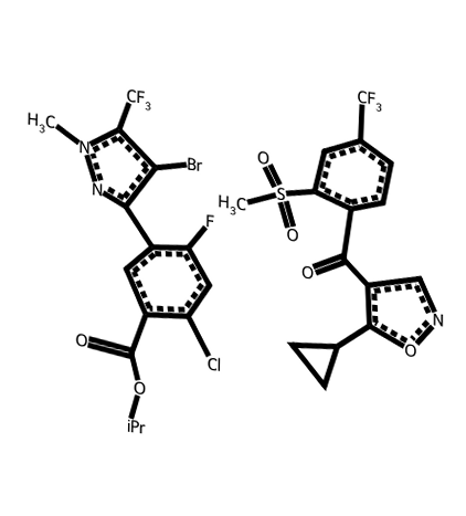 CC(C)OC(=O)c1cc(-c2nn(C)c(C(F)(F)F)c2Br)c(F)cc1Cl.CS(=O)(=O)c1cc(C(F)(F)F)ccc1C(=O)c1cnoc1C1CC1